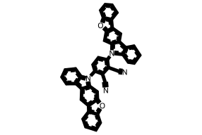 N#Cc1c(-n2c3ccccc3c3cc4c(cc32)oc2ccccc24)ccc(-n2c3ccccc3c3cc4c(cc32)oc2ccccc24)c1C#N